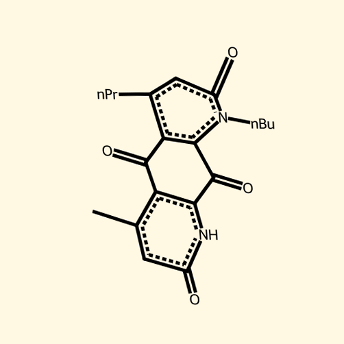 CCCCn1c2c(c(CCC)cc1=O)C(=O)c1c(C)cc(=O)[nH]c1C2=O